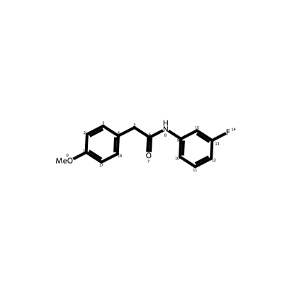 COc1ccc(CC(=O)Nc2cccc(F)c2)cc1